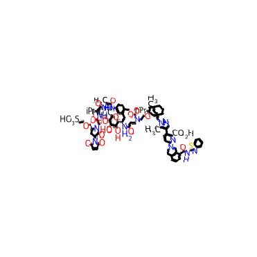 CCCC1(OCCN(CCC(N)=O)C(=O)OCc2ccc(NC(=O)[C@H](C)NC(=O)[C@@H](NC(=O)CN3C(=O)[C@@H](N4C(=O)C=CC4=O)C[C@H]3COCCS(=O)(=O)O)C(C)C)cc2CC[C@@H]2O[C@H](C(=O)O)[C@@H](O)[C@H](O)[C@H]2O)CC2(C)CCCC(Cn3ncc(-c4ccc(N5CCc6cccc(C(=O)Nc7nc8ccccc8s7)c6C5)nc4C(=O)O)c3C)(C2)C1